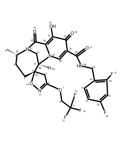 C[C@H]1CC[C@]2(CC(OCC(F)(F)F)=NO2)[C@H]2CN1C(=O)c1c(O)c(=O)c(C(=O)NCc3ccc(F)cc3F)cn12